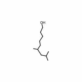 CC(C)CC(C)CCCCCO